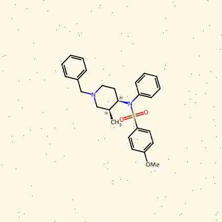 COc1ccc(S(=O)(=O)N(c2ccccc2)[C@@H]2CCN(Cc3ccccc3)C[C@@H]2C)cc1